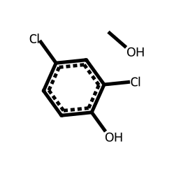 CO.Oc1ccc(Cl)cc1Cl